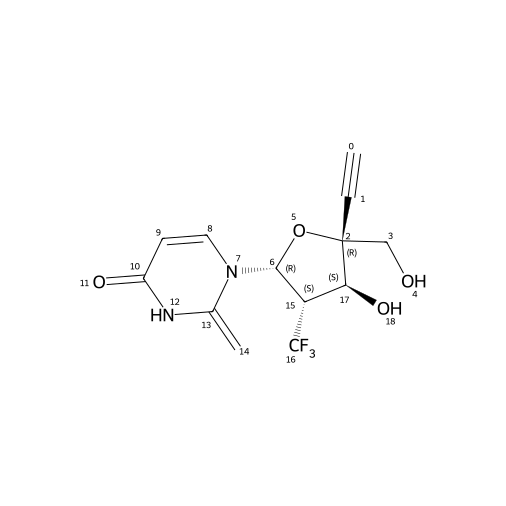 C#C[C@]1(CO)O[C@@H](N2C=CC(=O)NC2=C)[C@@H](C(F)(F)F)[C@@H]1O